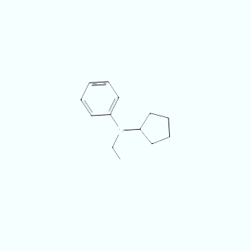 CCN(c1ccccc1)C1CCCC1